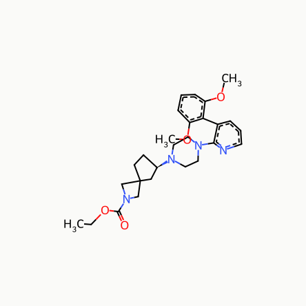 CCOC(=O)N1CC2(CC[C@@H](N3CCN(c4ncccc4-c4c(OC)cccc4OC)CC3)C2)C1